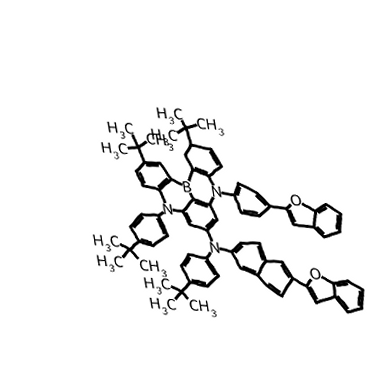 CC(C)(C)c1ccc(N(c2cc3c4c(c2)N(c2ccc(C(C)(C)C)cc2)c2ccc(C(C)(C)C)cc2B4C2=C(C=CC(C(C)(C)C)C2)N3c2ccc(-c3cc4ccccc4o3)cc2)c2ccc3cc(-c4cc5ccccc5o4)ccc3c2)cc1